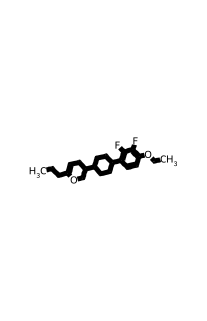 CCCC1=CCC(C2CCC(c3ccc(OCC)c(F)c3F)CC2)CO1